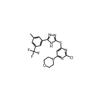 Cc1cc(-c2nnc(Sc3cc(N4CCOCC4)nc(Cl)n3)[nH]2)cc(C(F)(F)F)c1